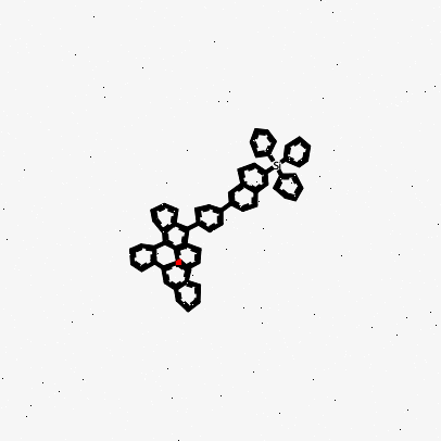 c1ccc([Si](c2ccccc2)(c2ccccc2)c2ccc3cc(-c4ccc(-c5c6ccccc6c(-c6ccccc6-c6ccc7ccccc7c6)c6ccccc56)cc4)ccc3c2)cc1